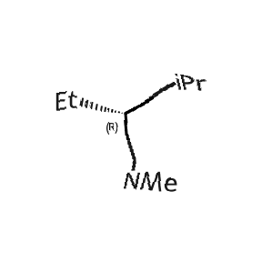 CC[C@@H](NC)C(C)C